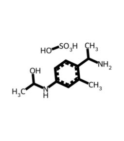 Cc1cc(NC(C)O)ccc1C(C)N.O=S(=O)(O)O